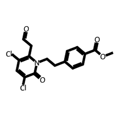 COC(=O)c1ccc(CCn2c(CC=O)c(Cl)cc(Cl)c2=O)cc1